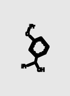 CC(C)Oc1cccc(C(O)C(C)C)c1